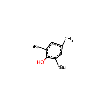 CCC(C)c1cc(C)cc(C(C)(C)C)c1O